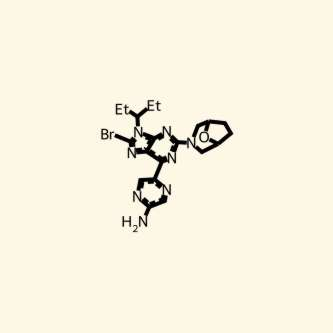 CCC(CC)n1c(Br)nc2c(-c3cnc(N)cn3)nc(N3CC4CCC(C3)O4)nc21